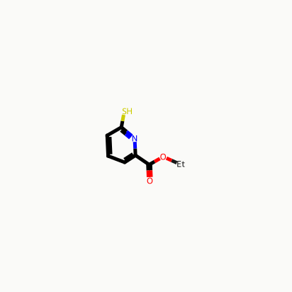 CCOC(=O)c1cccc(S)n1